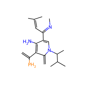 C=C(P)C1=C(N)C(/C(C=C(C)C)=N/C)=CN(C(C)C(C)C)C1=C